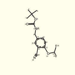 CC(C)(C)OC(=O)NCc1ccc(OC(F)F)c(C#N)c1